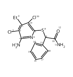 CCc1c(Cl)c(N)nc(SC(C(N)=O)c2ccccc2)c1Cl